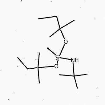 CCC(C)(C)O[Si](C)(NC(C)(C)C)OC(C)(C)CC